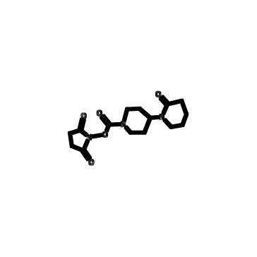 O=C(ON1C(=O)CCC1=O)N1CCC(N2CCCCC2=O)CC1